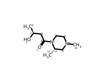 C[C@H](O)CC(=O)N1CCN(C)C[C@@H]1C